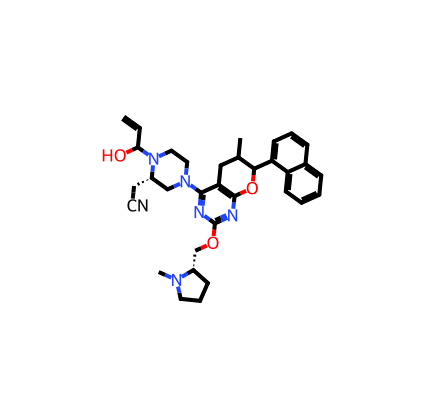 C=CC(O)N1CCN(c2nc(OC[C@@H]3CCCN3C)nc3c2CC(C)C(c2cccc4ccccc24)O3)C[C@@H]1CC#N